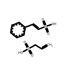 C=CCS(=O)(=O)O.O=S(=O)(O)C=Cc1ccccc1